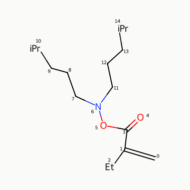 C=C(CC)C(=O)ON(CCCC(C)C)CCCC(C)C